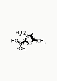 CC1=CN(C)C(B(O)O)O1